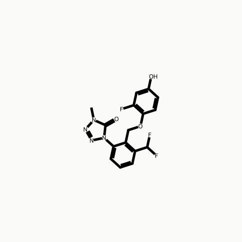 Cn1nnn(-c2cccc(C(F)F)c2COc2ccc(O)cc2F)c1=O